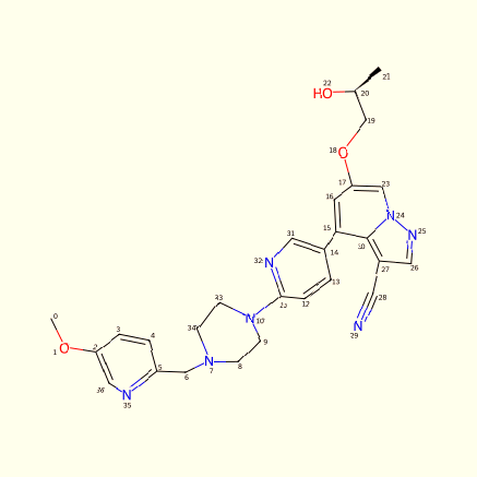 COc1ccc(CN2CCN(c3ccc(-c4cc(OC[C@H](C)O)cn5ncc(C#N)c45)cn3)CC2)nc1